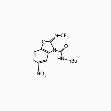 CCCCNC(=O)n1c(=NC(F)(F)F)oc2ccc([N+](=O)[O-])cc21